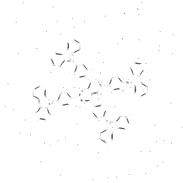 c1ccc2c(c1)c1ccccc1n2-c1ccc(-c2nc(-c3ccc(-n4c5ccccc5c5ccccc54)cc3)c3nc(-c4ccc(-n5c6ccccc6c6ccccc65)cc4)nc(-c4ccc(-n5c6ccccc6c6ccccc65)cc4)c3n2)cc1